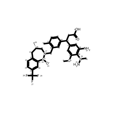 COc1cc(C(CC(=O)O)c2ccc(C)c(CN3C[C@@H](C)Cc4ccc(C(F)(F)F)cc4[S+]3[O-])c2)cc(N)c1N(C)N